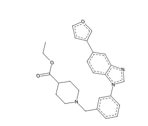 CCOC(=O)C1CCN(Cc2cccc(-n3cnc4cc(-c5ccoc5)ccc43)c2)CC1